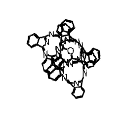 c1ccc2c(c1)C1=NC/2=N\c2c3ccccc3c3n2C(OC2n4c5c6ccccc6c4/N=C4N=C(/N=c6/c7ccccc7/c(n62)=N/C2=NC(=N\5)/c5ccccc52)c2ccccc2\4)n2/c(c4ccccc4/c2=N/C2=NC(=N\3)/c3ccccc32)=N\1